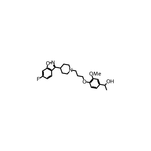 COc1cc(C(C)O)ccc1OCCCN1CCC(c2noc3cc(F)ccc23)CC1